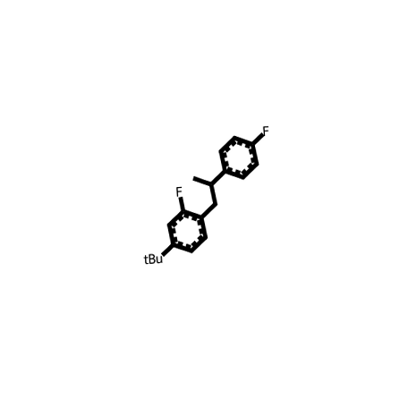 CC(Cc1ccc(C(C)(C)C)cc1F)c1ccc(F)cc1